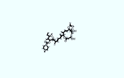 CCC(OC)C(C)C(OC(=O)N1CCN(C)CC1)C1OC1C(C)/C=C/C=C(\C)C1OC(=O)CC(O)CCC(C)(O)C(OC(C)=O)/C=C/C1C